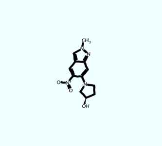 Cn1cc2cc([N+](=O)[O-])c(N3CC[C@@H](O)C3)cc2n1